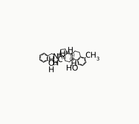 Cc1ccc(O)c2c1CC[C@@H]1[C@@H]2CC[C@]2(C)[C@H](NCc3ccccc3O)CC[C@@H]12